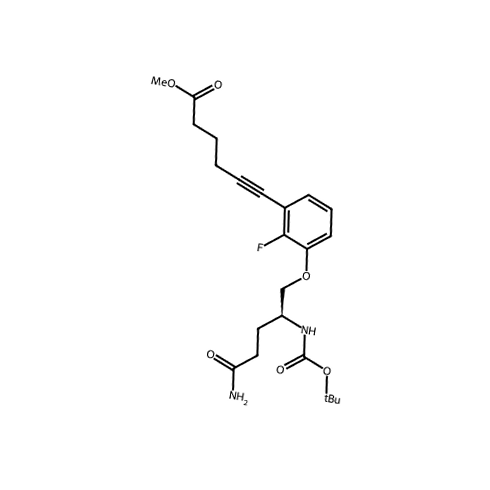 COC(=O)CCCC#Cc1cccc(OC[C@H](CCC(N)=O)NC(=O)OC(C)(C)C)c1F